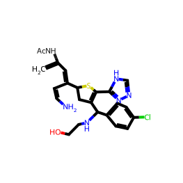 C=C(/C=C(\C=C/N)C1CC(C(NCCO)c2ccc(Cl)cc2)=C(c2nnc[nH]2)S1)NC(C)=O